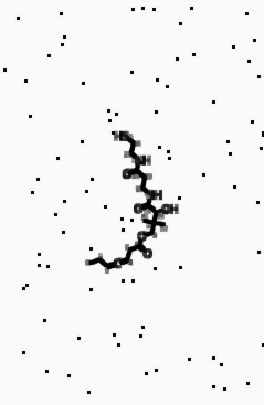 CCC=C=CCC(=O)OCC(C)(C)[C@H](O)C(=O)NCCC(=O)NCCS